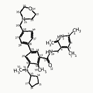 C=C1NC(C)=CC(C)=C1CNC(=O)c1cc(-c2ccc(CN3CCOCC3)cc2)cc(N(C)C2CCCC2)c1C